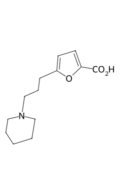 O=C(O)c1ccc(CCCN2CCCCC2)o1